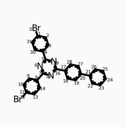 Brc1ccc(-c2nc(-c3ccc(Br)cc3)nc(-c3ccc(-c4ccccc4)cc3)n2)cc1